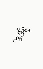 CCCOC(=O)[SH]1CC=C(C(=O)O)N2C(=O)CC21